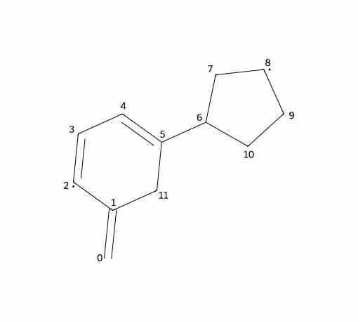 C=C1[C]=CC=C(C2C[CH]CC2)C1